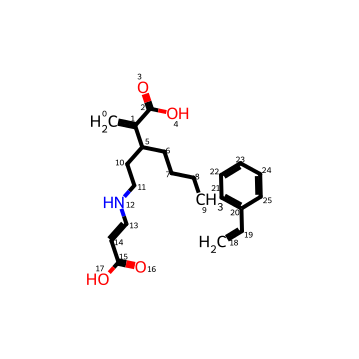 C=C(C(=O)O)C(CCCC)CCNC=CC(=O)O.C=Cc1ccccc1